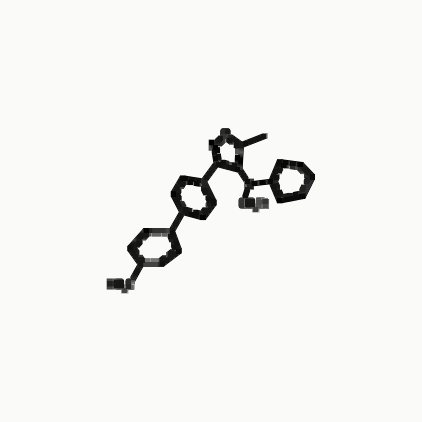 CCOC(=O)N(c1ccccc1)c1c(-c2ccc(-c3ccc(C(=O)O)cc3)cc2)noc1C